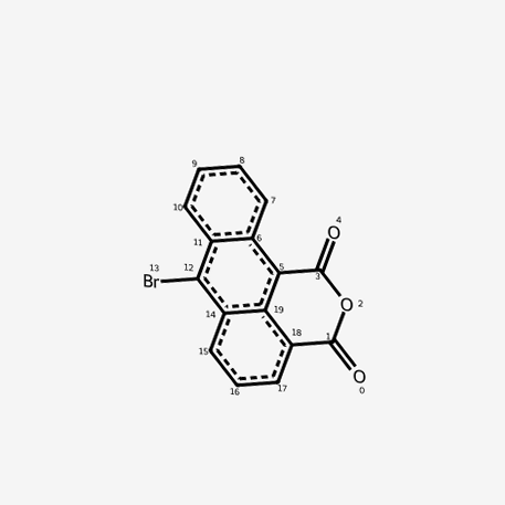 O=C1OC(=O)c2c3ccccc3c(Br)c3cccc1c23